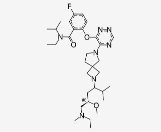 CCN(C)C[C@@H](CC(C(C)C)N1CC2(CCN(c3ncnnc3Oc3ccc(F)cc3C(=O)N(CC)C(C)C)C2)C1)OC